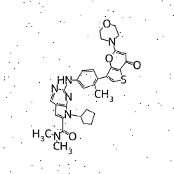 Cc1cc(Nc2ncc3cc(C(=O)N(C)C)n(C4CCCC4)c3n2)ccc1-c1csc2c(=O)cc(N3CCOCC3)oc12